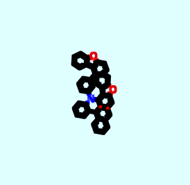 c1cc(-c2cccc3oc4ccccc4c23)cc(N(c2ccccc2-c2cccc3ccccc23)c2cccc3oc4ccccc4c23)c1